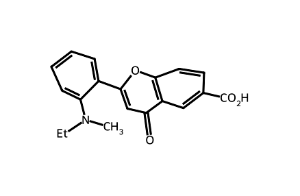 CCN(C)c1ccccc1-c1cc(=O)c2cc(C(=O)O)ccc2o1